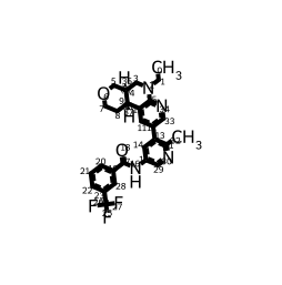 CCN1C[C@@H]2COCC[C@H]2c2cc(-c3cc(NC(=O)c4cccc(C(F)(F)F)c4)cnc3C)cnc21